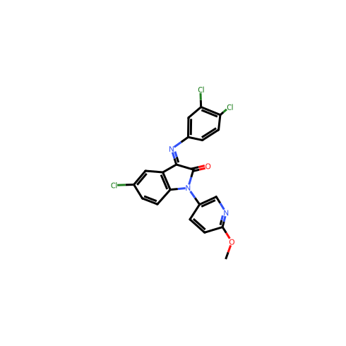 COc1ccc(N2C(=O)C(=Nc3ccc(Cl)c(Cl)c3)c3cc(Cl)ccc32)cn1